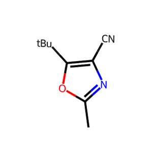 Cc1nc(C#N)c(C(C)(C)C)o1